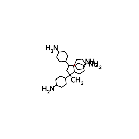 CC(CC(C1CCC(N)CC1)C1CCC(N)CC1)(C1CCC(N)CC1)C1CCC(N)CC1